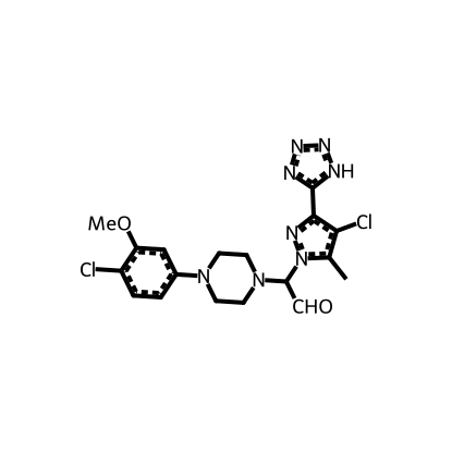 COc1cc(N2CCN(C(C=O)n3nc(-c4nnn[nH]4)c(Cl)c3C)CC2)ccc1Cl